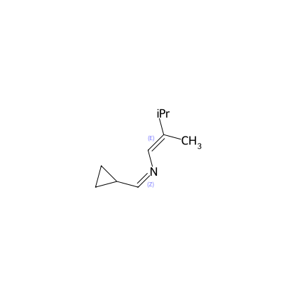 C/C(=C\N=C/C1CC1)C(C)C